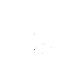 C[C@H](NC(=O)OC(C)(C)C)C(=O)Nc1ccc2ccccc2c1